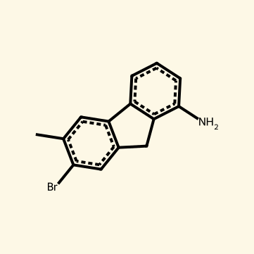 Cc1cc2c(cc1Br)Cc1c(N)cccc1-2